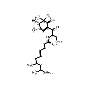 CCCCCCCC(C)CC(C/C=C/CCC(=O)NC(COC)C(O)C1=C[C@H](C)[C@@H](O)C(C)(C)C1=O)OC